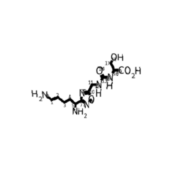 NCCCCC(N)c1noc(CNC(=O)NC(CO)C(=O)O)n1